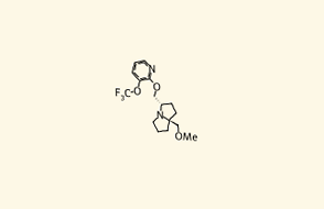 COC[C@@]12CCCN1[C@H](COc1ncccc1OC(F)(F)F)CC2